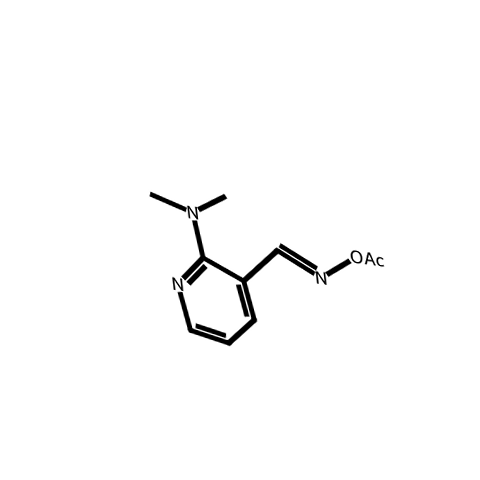 CC(=O)ON=Cc1cccnc1N(C)C